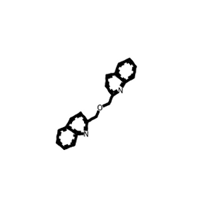 c1ccc2nc(COCc3ccc4ccccc4n3)ccc2c1